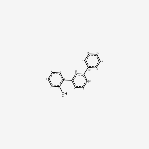 Oc1ccccc1-c1ccnc(-c2ccccc2)n1